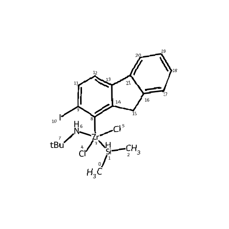 C[SiH](C)[Zr]([Cl])([Cl])([NH]C(C)(C)C)[c]1c(I)ccc2c1Cc1ccccc1-2